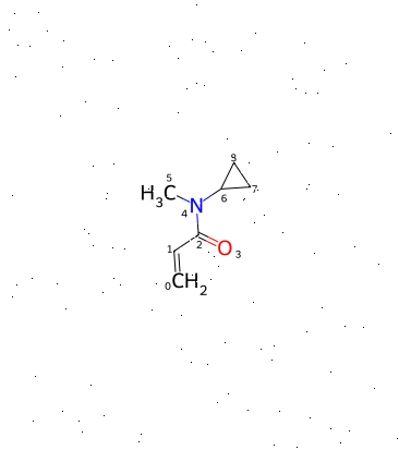 C=CC(=O)N(C)C1CC1